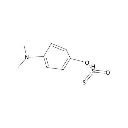 CN(C)c1ccc(O[SH](=O)=S)cc1